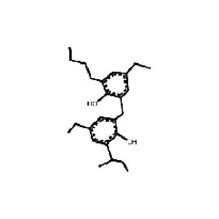 CCCCc1cc(CC)cc(Cc2cc(CC)cc(C(C)CC)c2O)c1O